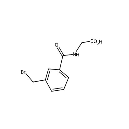 O=C(O)CNC(=O)c1cccc(CBr)c1